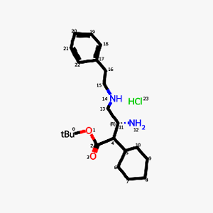 CC(C)(C)OC(=O)C(C1CCCCC1)[C@@H](N)CNCCc1ccccc1.Cl